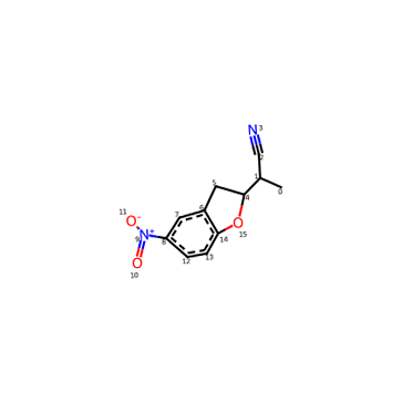 CC(C#N)C1Cc2cc([N+](=O)[O-])ccc2O1